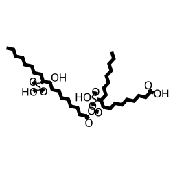 CCCCCCCCC(C(O)CCCCCCCC(=O)OOC(CCCCCCCC(=O)O)C(CCCCCCCC)S(=O)(=O)O)S(=O)(=O)O